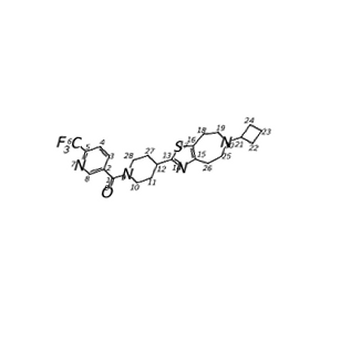 O=C(c1ccc(C(F)(F)F)nc1)N1CCC(c2nc3c(s2)CCN(C2CCC2)CC3)CC1